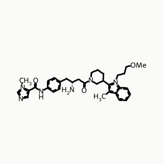 COCCCn1c(C2CCCN(C(=O)C[C@H](N)Cc3ccc(NC(=O)c4cncn4C)cc3)C2)c(C)c2ccccc21